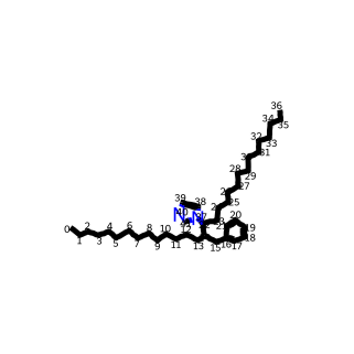 CCCCCCCCCCCCCCC(Cc1ccccc1)C(CCCCCCCCCCCCCC)n1ccnc1